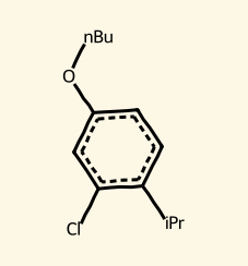 CCCCOc1ccc(C(C)C)c(Cl)c1